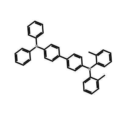 Cc1ccccc1N(c1ccc(-c2ccc(N(c3ccccc3)c3ccccc3)cc2)cc1)c1ccccc1C